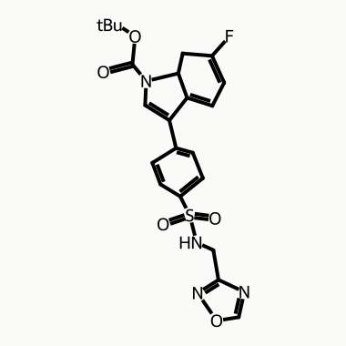 CC(C)(C)OC(=O)N1C=C(c2ccc(S(=O)(=O)NCc3ncon3)cc2)C2=CC=C(F)CC21